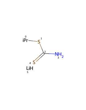 CC(C)SC(N)=S.[LiH]